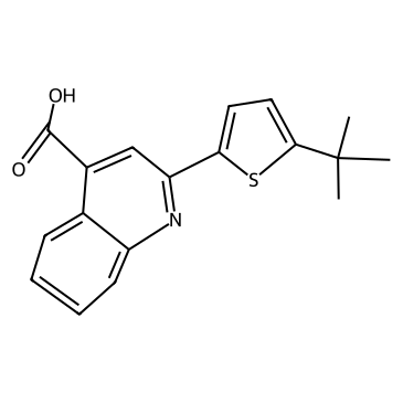 CC(C)(C)c1ccc(-c2cc(C(=O)O)c3ccccc3n2)s1